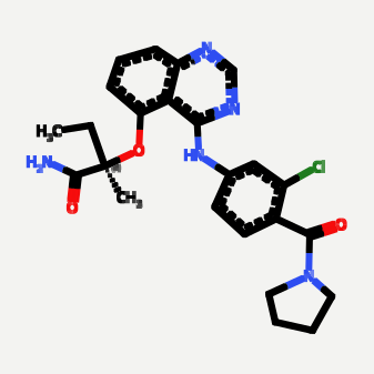 CC[C@@](C)(Oc1cccc2ncnc(Nc3ccc(C(=O)N4CCCC4)c(Cl)c3)c12)C(N)=O